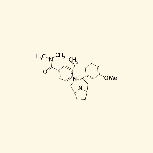 C=CCN1CCC2CCC(C1)N2C(C1=CC(OC)=CCC1)c1ccc(C(=O)N(C)C)cc1